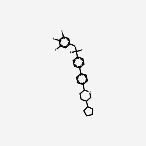 Fc1cc(OC(F)(F)c2ccc(-c3ccc(C4CCC(C5CCCC5)CO4)cc3)cc2)cc(F)c1F